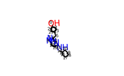 Oc1ccc(Cc2nnc3ccc(NCC4CCCCC4)nn23)cc1